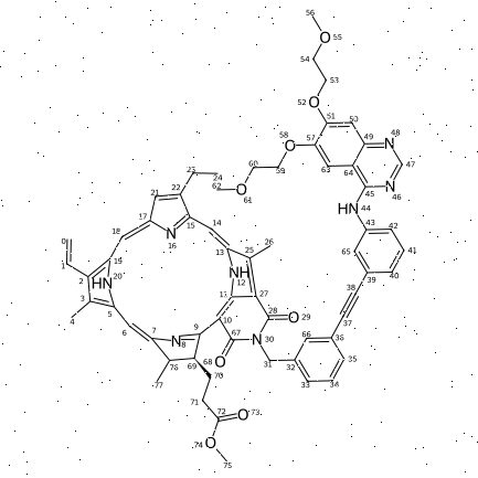 C=Cc1c(C)c2cc3nc(c4c5[nH]c(cc6nc(cc1[nH]2)C=C6CC)c(C)c5C(=O)N(Cc1cccc(C#Cc2cccc(Nc5ncnc6cc(OCCOC)c(OCCOC)cc56)c2)c1)C4=O)[C@@H](CCC(=O)OC)C3C